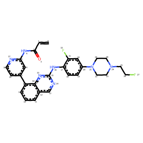 C=CC(=O)Nc1cc(-c2cccc3cnc(Nc4ccc(N5CCN(CCF)CC5)cc4F)nc23)ccn1